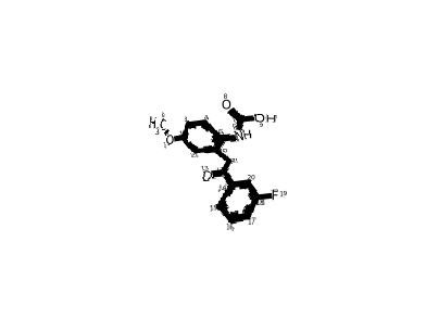 COc1ccc(NC(=O)O)c(CC(=O)c2cccc(F)c2)c1